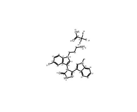 Cn1cc(-c2n[nH]c(=O)n2-c2cn(CCCN)c3ccc(F)cc23)c2ccccc21.O=C(O)C(F)(F)F